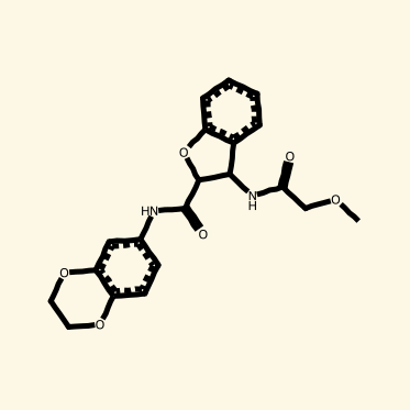 COCC(=O)NC1c2ccccc2OC1C(=O)Nc1ccc2c(c1)OCCO2